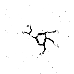 BCc1cc(OC(CS(=O)(=O)O)C(F)(F)F)cc(CB)c1CB